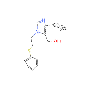 CCOC(=O)c1ncn(CCSc2ccccc2)c1CO